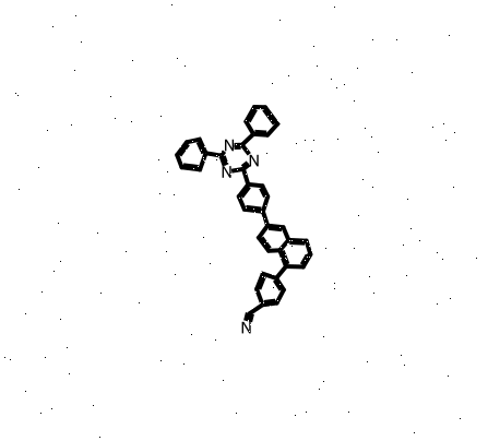 N#Cc1ccc(-c2cccc3cc(-c4ccc(-c5nc(-c6ccccc6)nc(-c6ccccc6)n5)cc4)ccc23)cc1